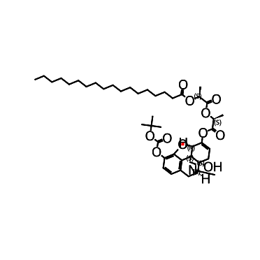 CCCCCCCCCCCCCCCCCC(=O)O[C@@H](C)C(=O)O[C@@H](C)C(=O)OC1=CC[C@@]2(O)[C@H]3Cc4ccc(OC(=O)OC(C)(C)C)c5c4[C@@]2(CCN3C)[C@H]1O5